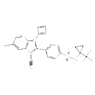 N#Cc1c(-c2ccc(S(=O)(=O)NC3(C(F)(F)F)CC3)cc2)n(C2=CC=C2)c2ncc(Cl)cc12